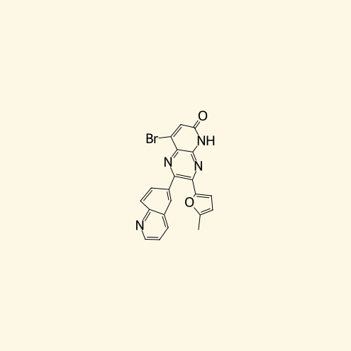 Cc1ccc(-c2nc3[nH]c(=O)cc(Br)c3nc2-c2ccc3ncccc3c2)o1